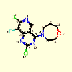 Fc1c(Cl)ncc2c(N3CCCOCC3)nc(Cl)nc12